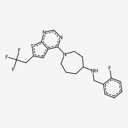 Fc1ccccc1CNC1CCCN(c2ncnc3sc(CC(F)(F)F)cc23)CC1